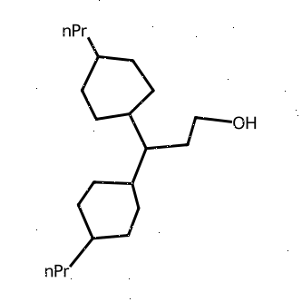 CCCC1CCC(C(CCO)C2CCC(CCC)CC2)CC1